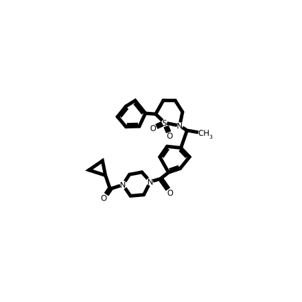 CC(c1ccc(C(=O)N2CCN(C(=O)C3CC3)CC2)cc1)N1CCCC(c2ccccc2)S1(=O)=O